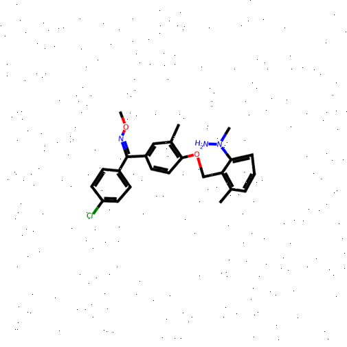 CON=C(c1ccc(Cl)cc1)c1ccc(OCc2c(C)cccc2N(C)N)c(C)c1